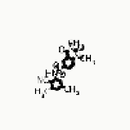 Cc1cc(C)c(C#N)c(NS(=O)(=O)c2ccc3c(c2)c(=O)n(C)c(=O)n3C)c1